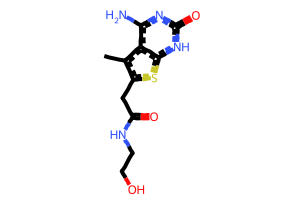 Cc1c(CC(=O)NCCO)sc2[nH]c(=O)nc(N)c12